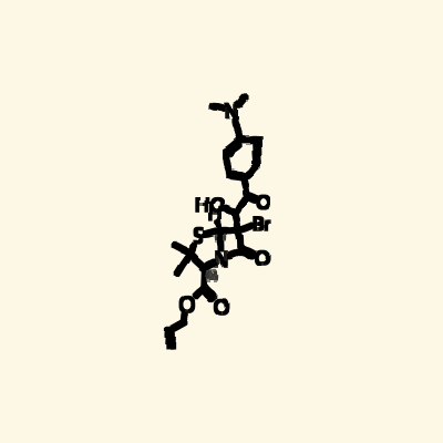 C=CCOC(=O)[C@@H]1N2C(=O)C(Br)(C(O)C(=O)c3ccc(N(C)C)cc3)[C@H]2SC1(C)C